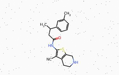 Cc1cccc(C(C)CC(=O)Nc2sc3c(c2C#N)CCNC3)c1